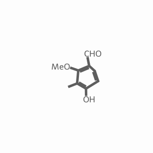 COc1c(C=O)ccc(O)c1C